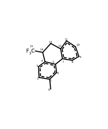 Cc1ccc2c(c1)-c1ccccc1CC2C(F)(F)F